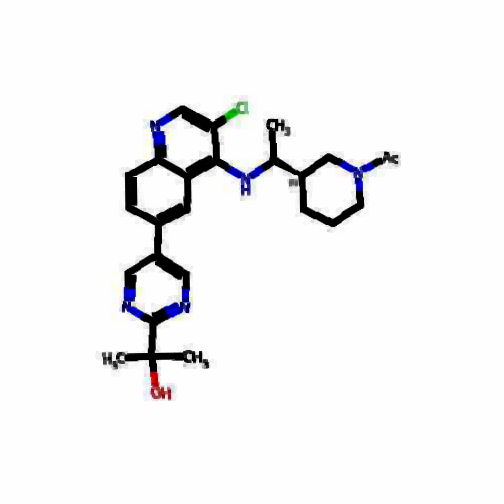 CC(=O)N1CCC[C@@H](C(C)Nc2c(Cl)cnc3ccc(-c4cnc(C(C)(C)O)nc4)cc23)C1